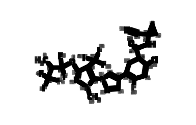 CC(C(F)(F)F)C(F)(F)Oc1nn(C)c(-n2cc(C3=C(F)C=C(Cl)C(C(=O)NC4(C#N)CC4)C3)cn2)c1C(F)(F)F